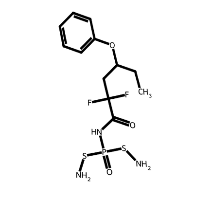 CCC(CC(F)(F)C(=O)NP(=O)(SN)SN)Oc1ccccc1